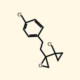 Clc1ccc(CCC2(C3(Cl)CC3)CO2)cc1